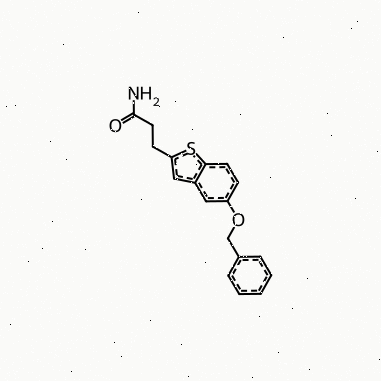 NC(=O)CCc1cc2cc(OCc3ccccc3)ccc2s1